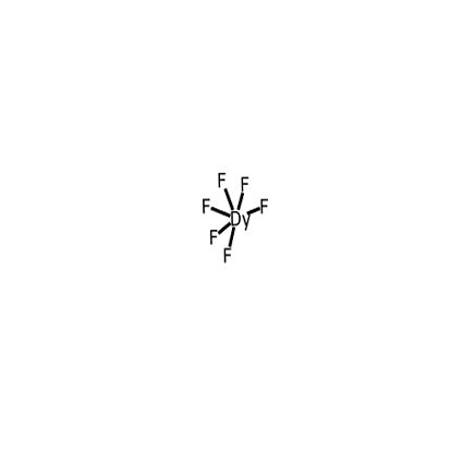 [F][Dy]([F])([F])([F])([F])[F]